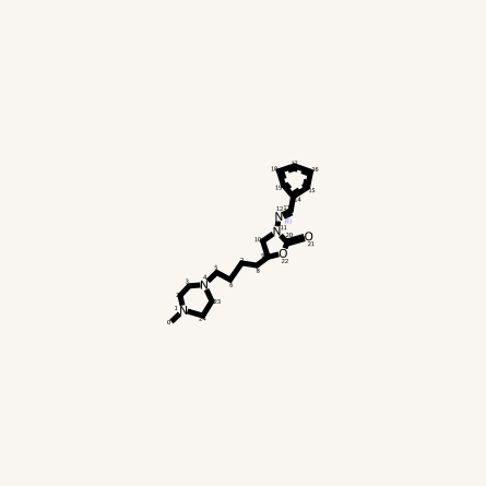 CN1CCN(CCCCC2CN(/N=C/c3ccccc3)C(=O)O2)CC1